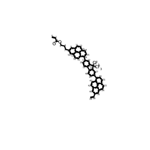 C=CC(=O)OCCCc1cc2ccc3ccc(-c4ccc5c(c4)C(C(F)(F)F)(C(F)(F)F)c4cc(-c6ccc7ccc8cc(C=C)cc9ccc6c7c89)ccc4-5)c4ccc(c1)c2c34